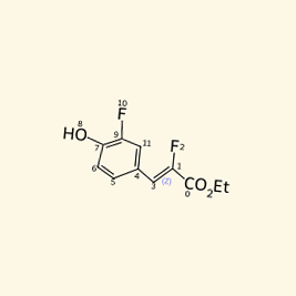 CCOC(=O)/C(F)=C/c1ccc(O)c(F)c1